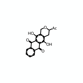 CC(=O)C1Cc2c(O)c3c(c(O)c2CO1)C(=O)c1ccccc1C3=O